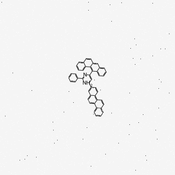 N/C(=N\C(=C/Cc1ccc2c(ccc3c4ccccc4ccc23)c1)c1c2ccccc2cc2ccc3ccccc3c12)c1ccccc1